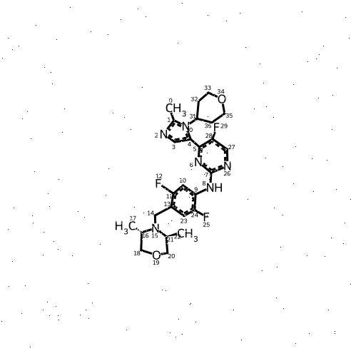 Cc1ncc(-c2nc(Nc3cc(F)c(CN4[C@@H](C)COC[C@@H]4C)cc3F)ncc2F)n1C1CCOCC1